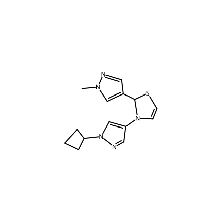 Cn1cc(C2SC=CN2c2cnn(C3CCC3)c2)cn1